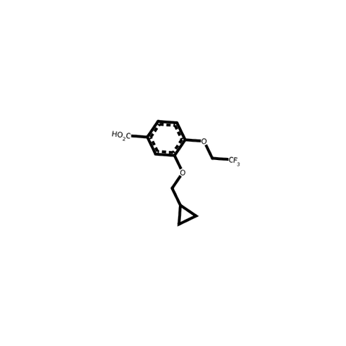 O=C(O)c1ccc(OCC(F)(F)F)c(OCC2CC2)c1